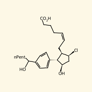 CCCCCC(O)c1ccc([C@@H]2[C@@H](C/C=C\CCCC(=O)O)[C@@H](Cl)C[C@H]2O)cc1